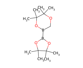 CC1(C)OCB(B2OC(C)(C)C(C)(C)O2)OC1(C)C